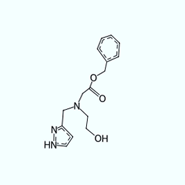 O=C(CN(CCO)Cc1cc[nH]n1)OCc1ccccc1